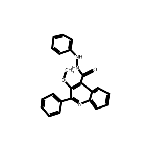 COc1c(-c2ccccc2)nc2ccccc2c1C(=O)NNc1ccccc1